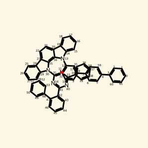 c1ccc(-c2ccc(-c3cccc(-n4c5ccccc5c5ccc6c7ccccc7n(-c7nc(-c8ccccc8)nc(-c8ccccc8-c8ccccc8)n7)c6c54)c3)cc2)cc1